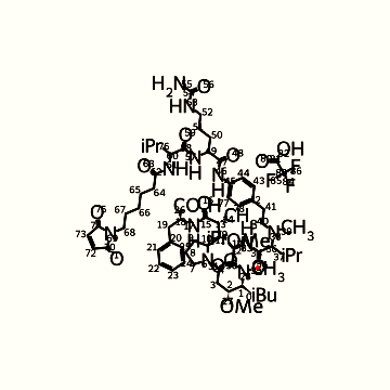 CC[C@H](C)[C@@H]([C@@H](CC(=O)N1CCCC1[C@H](OC)[C@@H](C)C(=O)N[C@@H](Cc1ccccc1)C(=O)O)OC)N(C)C(=O)C(NC(=O)C(C(C)C)N(C)CCc1ccc(NC(=O)C(CCCNC(N)=O)NC(=O)C(NC(=O)CCCCCN2C(=O)C=CC2=O)C(C)C)cc1)C(C)C.O=C(O)C(F)(F)F